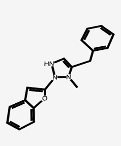 CN1C(Cc2ccccc2)=CNN1c1cc2ccccc2o1